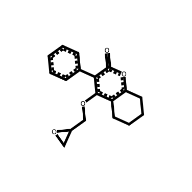 O=c1oc2c(c(OCC3CO3)c1-c1ccccc1)CCCC2